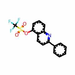 O=S(=O)(Oc1cccc2nc(-c3ccccc3)ccc12)C(F)(F)F